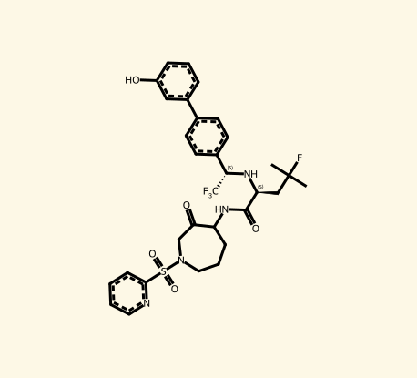 CC(C)(F)C[C@H](N[C@@H](c1ccc(-c2cccc(O)c2)cc1)C(F)(F)F)C(=O)NC1CCCN(S(=O)(=O)c2ccccn2)CC1=O